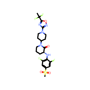 CC(F)(F)c1nc(N2CCC(N3CCC[C@H](Nc4c(F)cc(S(C)(=O)=O)cc4F)C3=O)CC2)no1